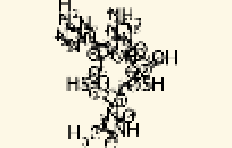 Cc1cn([C@H]2CC(OP(=O)(S)OC[C@H]3O[C@@H](n4cnc5c(N)ncnc54)CC3O)[C@@H](COP(=O)(S)OC3C[C@H](n4ccc(N)nc4=O)O[C@@H]3CO)O2)c(=O)[nH]c1=O